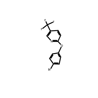 FC(F)(F)c1ccc(Oc2ccc(Br)cc2)nc1